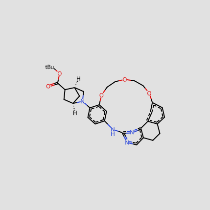 CC(C)(C)OC(=O)C1C[C@H]2C[C@@H]1CN2c1ccc2cc1OCCOCCOc1ccc3c(c1)-c1nc(ncc1CC3)N2